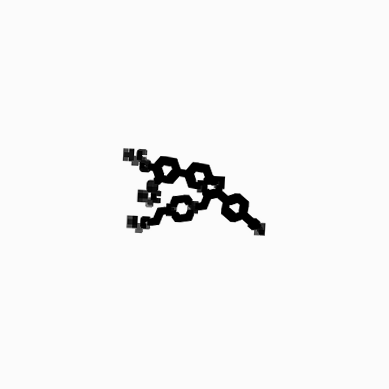 CCCN1CCN(Cc2c(-c3ccc(C#N)cc3)nc3ccc(-c4ccc(OC)c(OC)c4)cn23)CC1